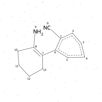 N#Cc1ccccc1C1=C(N)CCCC1